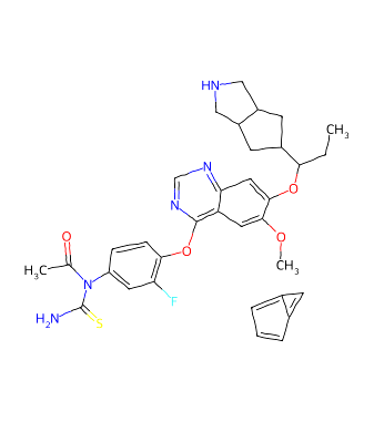 CCC(Oc1cc2ncnc(Oc3ccc(N(C(C)=O)C(N)=S)cc3F)c2cc1OC)C1CC2CNCC2C1.c1cc2cc-2c1